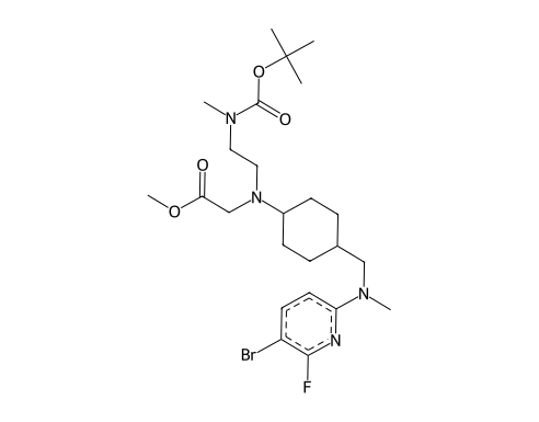 COC(=O)CN(CCN(C)C(=O)OC(C)(C)C)C1CCC(CN(C)c2ccc(Br)c(F)n2)CC1